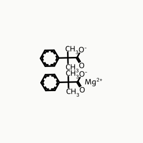 CC(C)(C(=O)[O-])c1ccccc1.CC(C)(C(=O)[O-])c1ccccc1.[Mg+2]